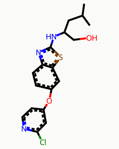 CC(C)CC(CO)Nc1nc2ccc(Oc3ccnc(Cl)c3)cc2s1